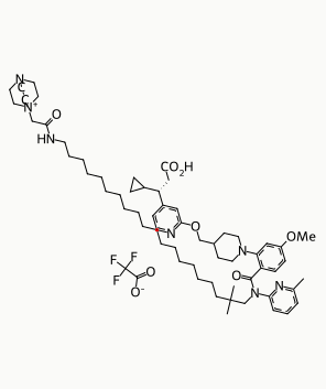 COc1ccc(C(=O)N(CC(C)(C)CCCCCCCCCCCCCCCCCCNC(=O)C[N+]23CCN(CC2)CC3)c2cccc(C)n2)c(N2CCC(COc3cc([C@@H](CC(=O)O)C4CC4)ccn3)CC2)c1.O=C([O-])C(F)(F)F